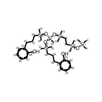 C[Si](C)(C)O[Si](C)(C)CC[Si](C)(C)O[Si](C)(O[Si](C)(C)CCCc1ccccc1O)O[Si](C)(C)CCCc1ccccc1O